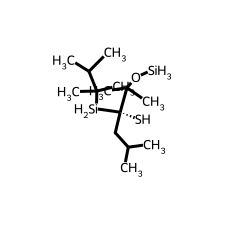 CC(C)C[C@@](S)([SiH2]C(C)(C)C(C)C)C(C)(C)O[SiH3]